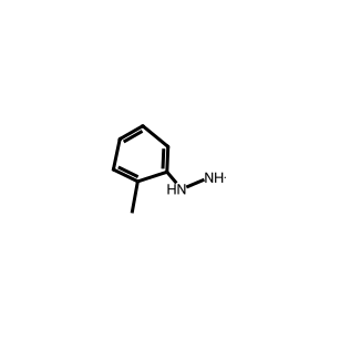 Cc1ccccc1N[NH]